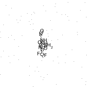 Cc1cc(F)c(COc2nsc(NC(=O)NCCCN3CCOCC3)c2C(N)=O)cc1F